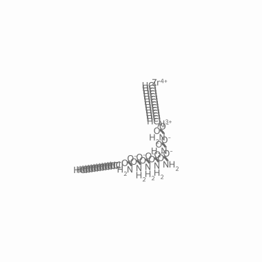 Cl.Cl.Cl.Cl.Cl.Cl.Cl.Cl.Cl.Cl.Cl.Cl.Cl.Cl.Cl.Cl.Cl.Cl.Cl.Cl.Cl.Cl.Cl.Cl.Cl.Cl.Cl.Cl.NCC(=O)[O-].NCC(=O)[O-].NCC(=O)[O-].NCC(=O)[O-].NCC(=O)[O-].NCC(=O)[O-].NCC(=O)[O-].[Al+3].[Zr+4]